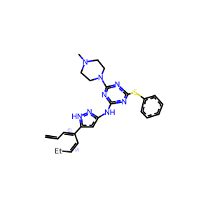 C=C/C=C(\C=C/CC)c1cc(Nc2nc(Sc3ccccc3)nc(N3CCN(C)CC3)n2)n[nH]1